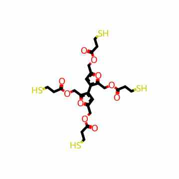 O=C(CCS)OCc1cc(-c2cc(COC(=O)CCS)oc2COC(=O)CCS)c(COC(=O)CCS)o1